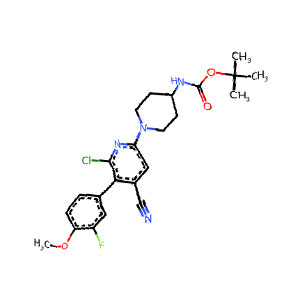 COc1ccc(-c2c(C#N)cc(N3CCC(NC(=O)OC(C)(C)C)CC3)nc2Cl)cc1F